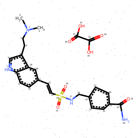 CN(C)CCc1c[nH]c2ccc(C=CS(=O)(=O)NCc3ccc(C(N)=O)cc3)cc12.O=C(O)C(=O)O